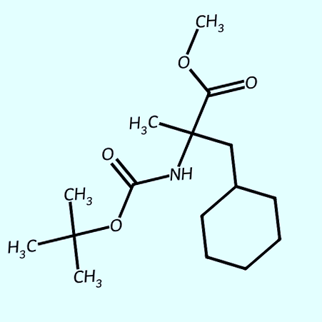 COC(=O)C(C)(CC1CCCCC1)NC(=O)OC(C)(C)C